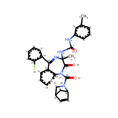 Cc1cccc(NC(=O)NC2(C)N=C(c3ccccc3F)c3ccccc3N(C(=O)N3CC4C=CC3C4)C2=O)c1